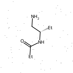 CCC(=O)N[C@@H](CC)CN